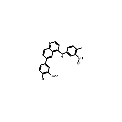 CCNc1cc(Nc2ncnc3ccc(-c4ccc(O)c(OC)c4)cc23)ccc1F